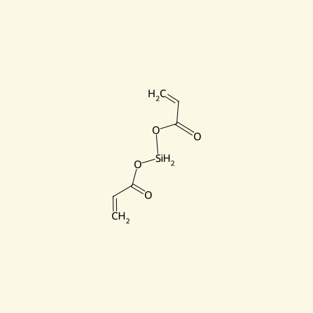 C=CC(=O)O[SiH2]OC(=O)C=C